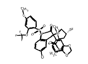 CNC(=O)[C@@H]1C[C@@H](O)C[N+]1(C)C1(c2ccc3c(c2)OCO3)C(=O)N(S(=O)(=O)c2ccc(OC)cc2OC(F)(F)F)c2ccc(Cl)cc21